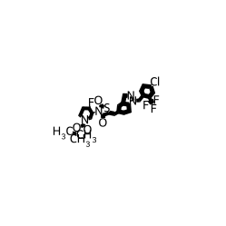 CC(C)(C)OC(=O)N1CC[C@H](F)[C@H](N2C(=O)SC(=Cc3ccc4c(cnn4Cc4ccc(Cl)cc4C(F)(F)F)c3)C2=O)C1